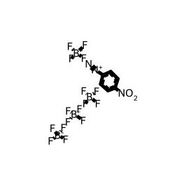 F[B-](F)(F)F.F[B-](F)(F)F.F[B-](F)(F)F.F[B-](F)(F)F.N#[N+]c1ccc([N+](=O)[O-])cc1